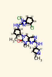 Cc1ccc(Nc2ncc3c(n2)N(C)C(=O)N(c2cc(Nc4nc5c(Cl)cccc5n4Cl)ccc2C)C3)cn1